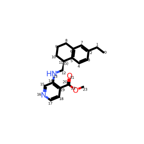 CCc1ccc2c(c1)CCC[C@@H]2CNc1cnccc1C(=O)OC